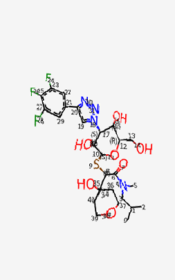 CC(C)CN(C)C(=O)[C@H](S[C@@H]1O[C@H](CO)[C@H](O)[C@H](n2cc(-c3cc(F)c(F)c(F)c3)nn2)[C@H]1O)C1(O)CCOCC1